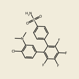 CN(C)c1cc(-c2c(F)c(F)c(F)c(F)c2-c2ccc(S(N)(=O)=O)cc2)ccc1Cl